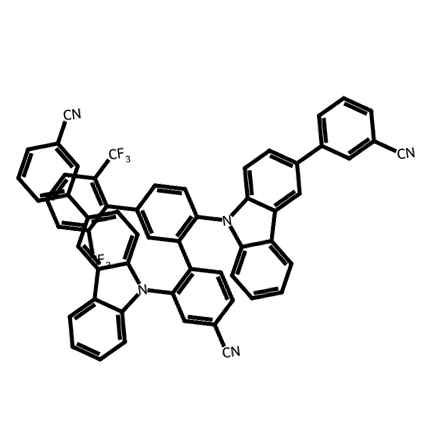 N#Cc1cccc(-c2ccc3c(c2)c2ccccc2n3-c2ccc(-c3c(C(F)(F)F)cccc3C(F)(F)F)cc2-c2ccc(C#N)cc2-n2c3ccccc3c3cc(-c4cccc(C#N)c4)ccc32)c1